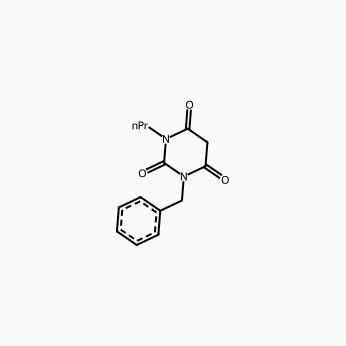 CCCN1C(=O)CC(=O)N(Cc2ccccc2)C1=O